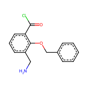 NCc1cccc(C(=O)Cl)c1OCc1ccccc1